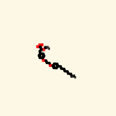 CCCCCCCCc1ccc(OCCCOc2ccc(C[C@H](OC)C(=O)O)cc2)cc1